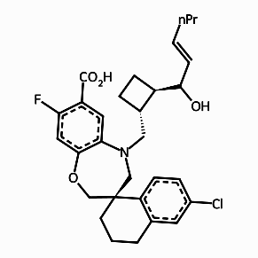 CCC/C=C/C(O)[C@@H]1CC[C@H]1CN1C[C@@]2(CCCc3cc(Cl)ccc32)COc2cc(F)c(C(=O)O)cc21